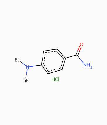 CCN(c1ccc(C(N)=O)cc1)C(C)C.Cl